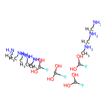 CN.CN.CN.CN.CN.CN.CN.CN.OB(O)F.OB(O)F.OB(O)F.OB(O)F